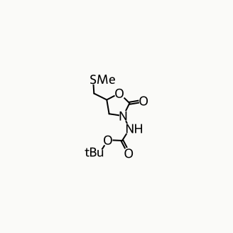 CSCC1CN(NC(=O)OC(C)(C)C)C(=O)O1